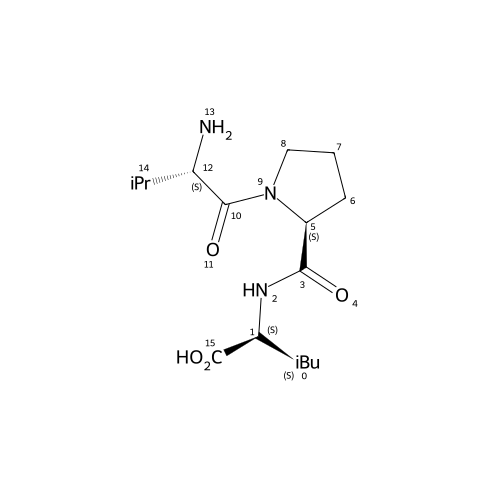 CC[C@H](C)[C@H](NC(=O)[C@@H]1CCCN1C(=O)[C@@H](N)C(C)C)C(=O)O